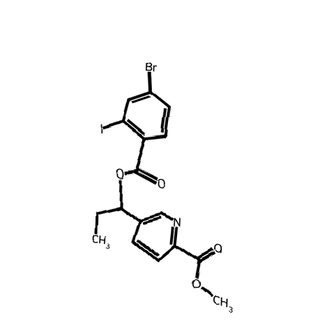 CCC(OC(=O)c1ccc(Br)cc1I)c1ccc(C(=O)OC)nc1